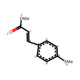 COC(=O)/C=C/c1ccc(SC)cc1